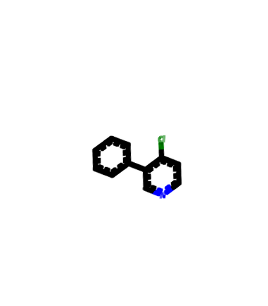 Clc1ccn[c]c1-c1ccccc1